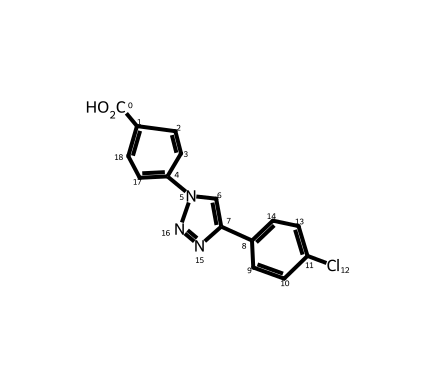 O=C(O)c1ccc(-n2cc(-c3ccc(Cl)cc3)nn2)cc1